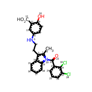 Cc1c(CCNc2ccc(O)c(C(=O)O)c2)c2ccccc2n1C(=O)c1cccc(Cl)c1Cl